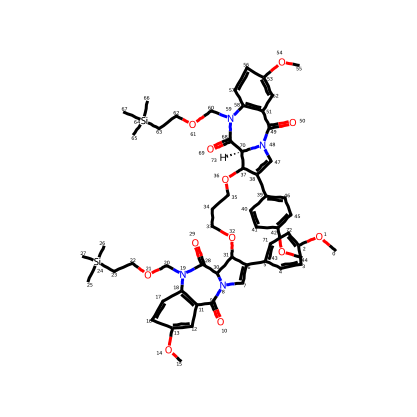 COc1ccc(C2=CN3C(=O)c4cc(OC)ccc4N(COCC[Si](C)(C)C)C(=O)C3C2OCCCOC2C(c3ccc(OC)cc3)=CN3C(=O)c4cc(OC)ccc4N(COCC[Si](C)(C)C)C(=O)[C@H]23)cc1